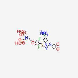 COc1ccc(N(C)c2cnc(SCc3c(F)cc(OCCCN(CCS(=O)(=O)O)CCS(=O)(=O)O)cc3F)n2-c2ccc(F)cc2)cc1OC.N.N